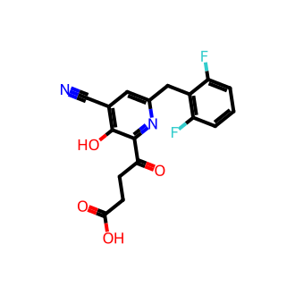 N#Cc1cc(Cc2c(F)cccc2F)nc(C(=O)CCC(=O)O)c1O